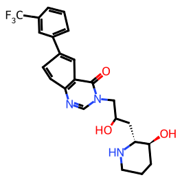 O=c1c2cc(-c3cccc(C(F)(F)F)c3)ccc2ncn1CC(O)C[C@H]1NCCC[C@@H]1O